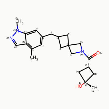 Cc1cc(CC2CC3(C2)CN(C(=O)[C@H]2C[C@@](C)(O)C2)C3)cc2c1cnn2C